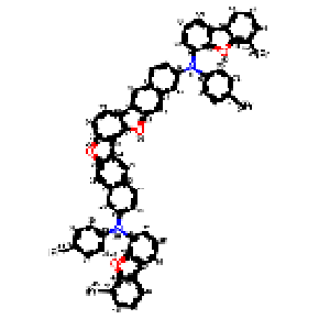 CC(C)c1ccc(N(c2ccc3cc4c(cc3c2)oc2c4ccc3oc4cc5cc(N(c6ccc(C(C)C)cc6)c6cccc7c6oc6c(C(C)C)cccc67)ccc5cc4c32)c2cccc3c2oc2c(C(C)C)cccc23)cc1